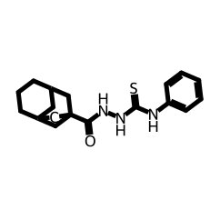 O=C(NNC(=S)Nc1ccccc1)C12CC3CCCC(C3)(C1)C2